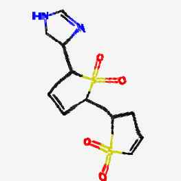 O=S1(=O)C=CCC1C1C=CC(C2CNC=N2)S1(=O)=O